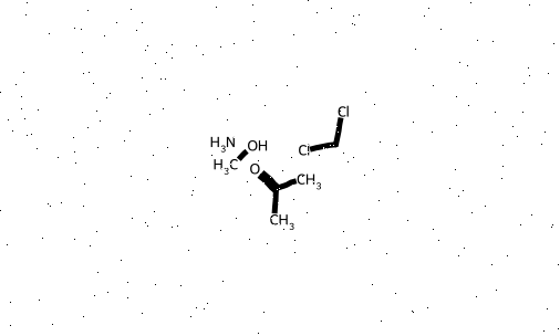 CC(C)=O.CO.ClCCl.N